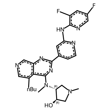 CCCCc1cncc2nc(-c3ccnc(Nc4ncc(F)cc4F)c3)nc(N(C)[C@@H]3CN(C)C[C@H]3O)c12